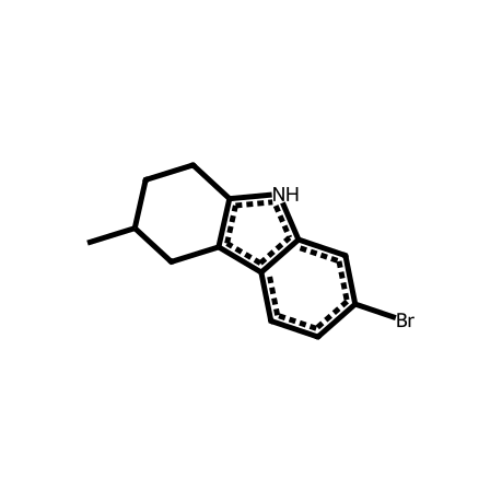 CC1CCc2[nH]c3cc(Br)ccc3c2C1